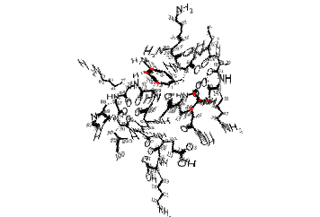 CC[C@H](C)[C@H](NC(=O)[C@H](Cc1ccccc1)NC(=O)[C@@H](N)CCCCN)C(=O)N[C@@H](C)C(=O)N[C@@H](CCCCN)C(=O)N[C@@H](CCC(=O)O)C(=O)N[C@@H](CCC(N)=O)C(=O)N[C@@H](CC(C)C)C(=O)N[C@@H](CCCCN)C(=O)N[C@@H](CCCCN)C(=O)N[C@@H](Cc1c[nH]cn1)C(=O)N[C@@H](CC(C)C)C(=O)NCC(=O)N[C@@H](CCC(=O)O)C(=O)N[C@@H](CCCCN)C(=O)O